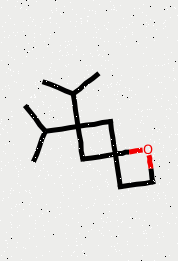 CC(C)C1(C(C)C)CC2(CCO2)C1